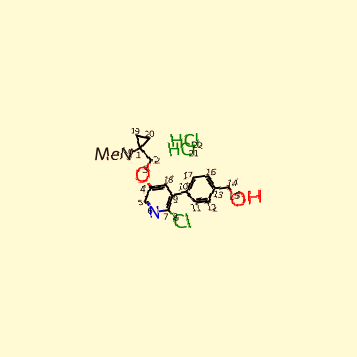 CNC1(COc2cnc(Cl)c(-c3ccc(CO)cc3)c2)CC1.Cl.Cl